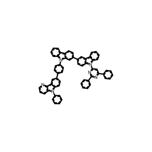 c1ccc(-c2cc(-n3c4ccccc4c4cc(-c5ccc6c7ccccc7n(-c7ccc(-c8ccc9c(c8)c8ncccc8n9-c8ccccc8)cc7)c6c5)ccc43)nc(-c3ccccc3)n2)cc1